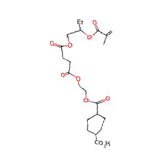 C=C(C)C(=O)OC(CC)COC(=O)CCC(=O)OCCOC(=O)C1CCC(C(=O)O)CC1